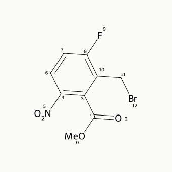 COC(=O)c1c([N+](=O)[O-])ccc(F)c1CBr